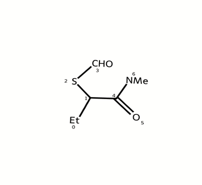 CCC(SC=O)C(=O)NC